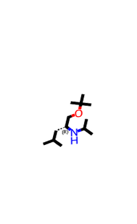 CC(C)C[C@H](COC(C)(C)C)NC(C)C